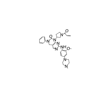 C=CC(=O)N1CCC(N2C(=O)N(c3ccccc3)Cc3cnc(Nc4ccc(N5CCN(C)CC5)cc4OC)nc32)C1